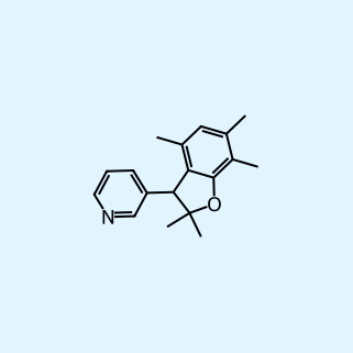 Cc1cc(C)c2c(c1C)OC(C)(C)C2c1cccnc1